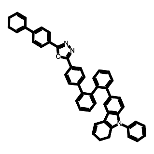 C1=CC(c2ccc(-c3nnc(-c4ccc(-c5ccccc5-c5ccccc5-c5ccc6c(c5)c5c(n6-c6ccccc6)CCC=C5)cc4)o3)cc2)=CCC1